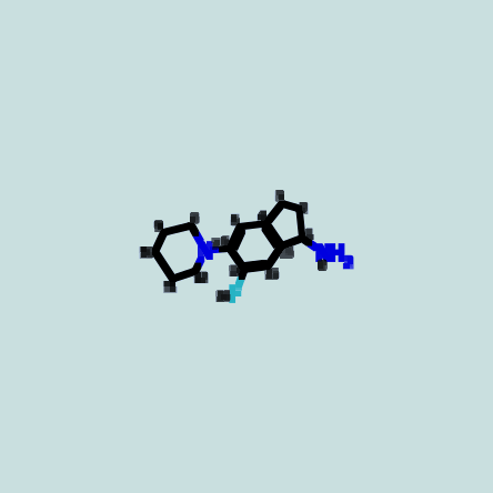 NC1CCc2cc(N3CCCCC3)c(F)cc21